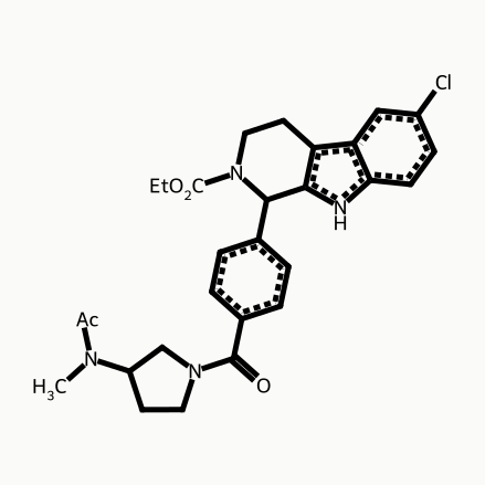 CCOC(=O)N1CCc2c([nH]c3ccc(Cl)cc23)C1c1ccc(C(=O)N2CCC(N(C)C(C)=O)C2)cc1